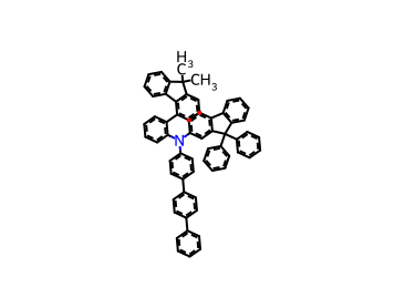 CC1(C)c2ccccc2-c2c(-c3ccccc3N(c3ccc(-c4ccc(-c5ccccc5)cc4)cc3)c3ccc4c(c3)C(c3ccccc3)(c3ccccc3)c3ccccc3-4)cccc21